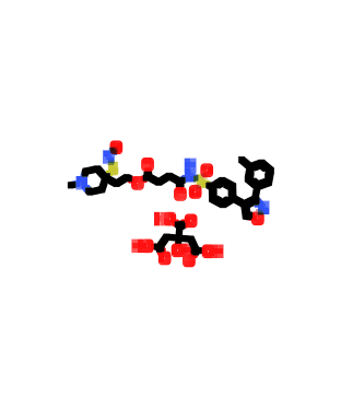 Cc1cccc(-c2nocc2-c2ccc(S(=O)(=O)NC(=O)CCC(=O)OCCC3(SN=O)CCN(C)CC3)cc2)c1.O=C(O)CC(O)(CC(=O)O)C(=O)O